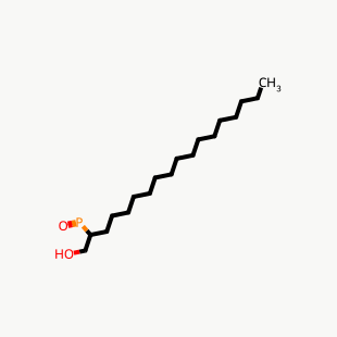 CCCCCCCCCCCCCCCCC(CO)P=O